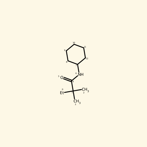 CCC(C)(C)C(=O)NC1CCCCC1